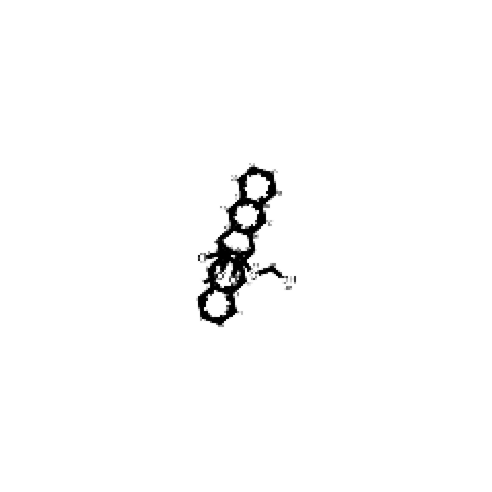 COC1(Cl)C2c3cc4ccccc4cc3C(c3cc4ccccc4cc32)C1(Cl)OCO